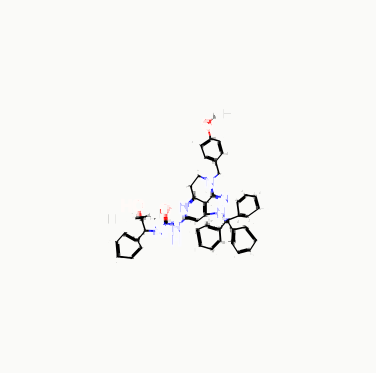 COc1ccc(CN2CCc3nc(NC(=O)NC(c4ccccc4)C(C)(C)O)cc4c3c2nn4C(c2ccccc2)(c2ccccc2)c2ccccc2)cc1